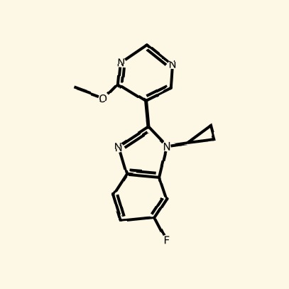 COc1ncncc1-c1nc2ccc(F)cc2n1C1CC1